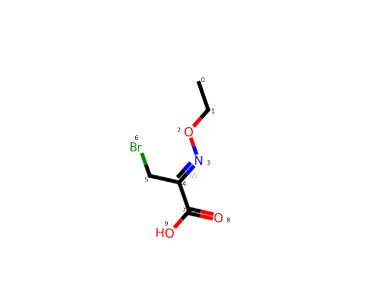 CCO/N=C(\CBr)C(=O)O